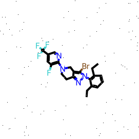 CCc1cccc(CC)c1-n1nc2c(c1Br)CN(c1ncc(C(F)(F)F)cc1F)CC2